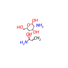 C=CC(N)=O.N[C@@H]1[C@@H](O)[C@H](O)[C@@H](CO)O[C@H]1O